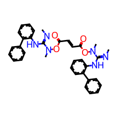 CN=C(Nc1ccccc1-c1ccccc1)N(C)OC(=O)/C=C/C(=O)ON(C)C(=NC)Nc1ccccc1-c1ccccc1